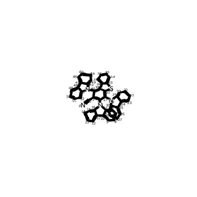 N#Cc1c(-n2c3ccccc3c3ccccc32)c(-n2c3ccccc3c3ccccc32)c2sc3ccccc3c2c1-n1c2ccccc2c2ccccc21